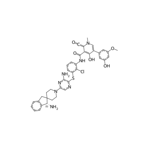 COc1cc(O)cc(C2=CN(C)C(=C=O)C(C(=O)Nc3cccc(Sc4ncc(N5CCC6(CC5)Cc5ccccc5[C@H]6N)nc4N)c3Cl)=C2O)c1